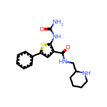 NC(=O)Nc1sc(-c2ccccc2)cc1C(=O)NCC1CCCCN1